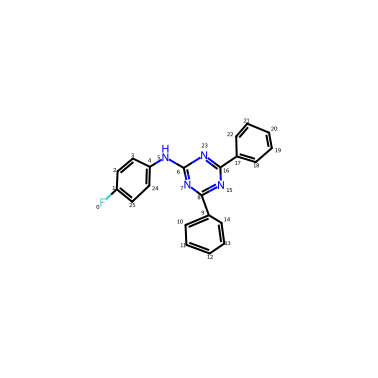 Fc1ccc(Nc2nc(-c3ccccc3)nc(-c3ccccc3)n2)cc1